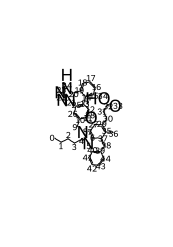 CCCCc1nc2c(n1Cc1ccc(-c3ccccc3-c3nnn[nH]3)cc1)C(=O)C(CCC(=O)O)=C(C)C2=Cc1ccccc1